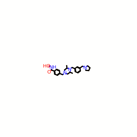 CC1CN(Cc2ccc(C(=O)NO)cc2)CC(C)N1Cc1cccc(CN2CCCC2)c1